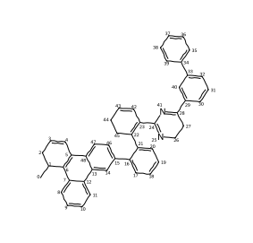 CC1CC=Cc2c1c1ccccc1c1cc(-c3ccccc3C3=C(C4=NCCC(c5cccc(-c6ccccc6)c5)=N4)C=CCC3)ccc21